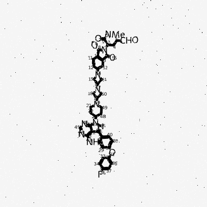 CNC(=O)C(CCC=O)N1C(=O)c2ccc(N3CC(N4CC(N5CCC(n6nc(-c7ccc(Oc8ccc(F)cc8)cc7)c7c(N)ncnc76)CC5)C4)C3)cc2C1=O